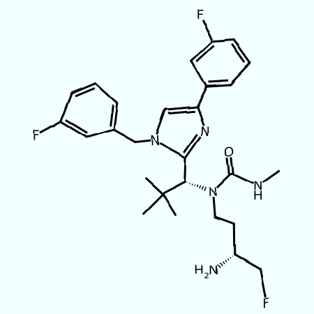 CNC(=O)N(CC[C@@H](N)CF)[C@@H](c1nc(-c2cccc(F)c2)cn1Cc1cccc(F)c1)C(C)(C)C